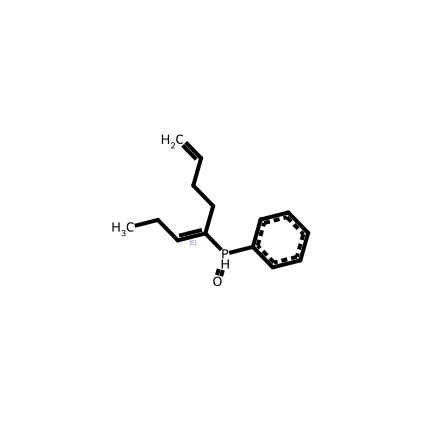 C=CCC/C(=C\CC)[PH](=O)c1ccccc1